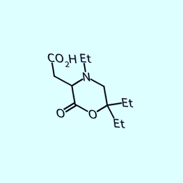 CCN1CC(CC)(CC)OC(=O)C1CC(=O)O